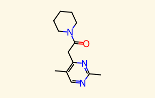 Cc1ncc(C)c(CC(=O)N2CCCCC2)n1